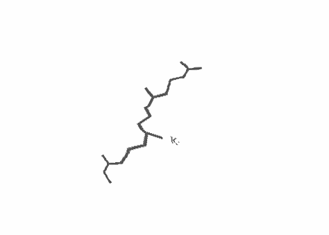 CCC(C)CCCC(C)CCCC(C)CCCC(C)C.[K]